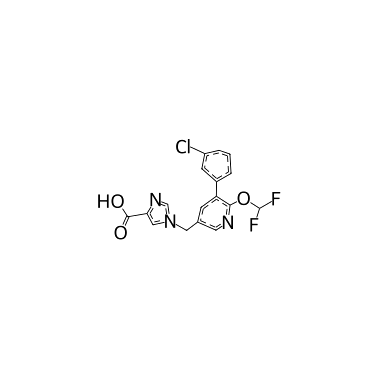 O=C(O)c1cn(Cc2cnc(OC(F)F)c(-c3cccc(Cl)c3)c2)cn1